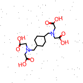 O=C(O)CN(CC(=O)O)CC1CCC(CN(CC(=O)O)CC(=O)O)CC1